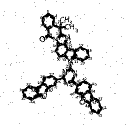 CC1(C)c2ccccc2C(=O)n2c1nc1c3c4ccccc4n(-c4nc(-c5ccc6c(c5)oc5ccccc56)nc(-c5ccc6c(c5)oc5ccccc56)n4)c3ccc12